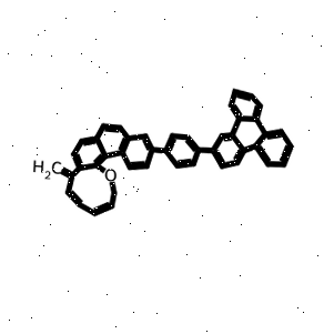 C=C1/C=C\C=C/COc2c1ccc1ccc3cc(-c4ccc(-c5ccc6c7ccccc7c7ccccc7c6c5)cc4)ccc3c21